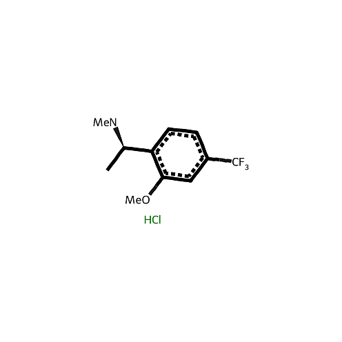 CN[C@H](C)c1ccc(C(F)(F)F)cc1OC.Cl